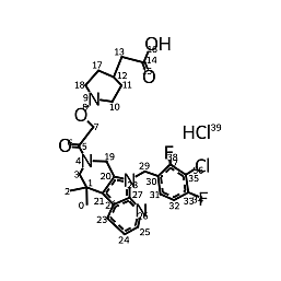 CC1(C)CN(C(=O)CON2CCC(CC(=O)O)CC2)Cc2c1c1cccnc1n2Cc1ccc(F)c(Cl)c1F.Cl